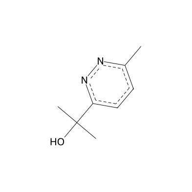 Cc1ccc(C(C)(C)O)nn1